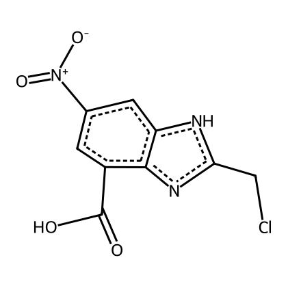 O=C(O)c1cc([N+](=O)[O-])cc2[nH]c(CCl)nc12